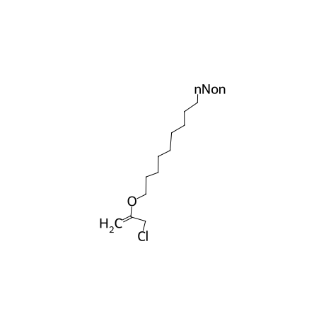 C=C(CCl)OCCCCCCCCCCCCCCCCCC